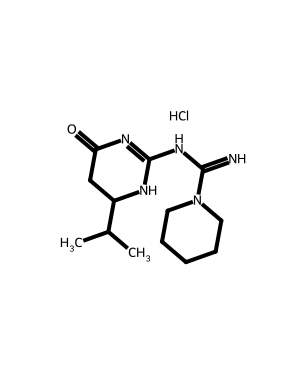 CC(C)C1CC(=O)N=C(NC(=N)N2CCCCC2)N1.Cl